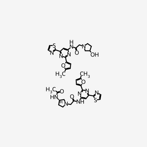 CC(=O)N[C@@H]1CCN(CC(=O)Nc2cc(-c3nccs3)nc(-c3ccc(C)o3)n2)C1.Cc1ccc(-c2nc(NC(=O)CN3CCC(O)C3)cc(-c3nccs3)n2)o1